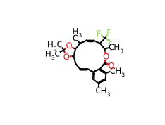 Cc1cc(C)c2c(c1)/C=C/CC1OC(C)(C)OC1C(C)/C=C\C(C(F)(F)F)C(C)OC2=O